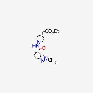 CCOC(=O)C=C1CCN(NC(=O)c2cccc3nn(C)cc23)CC1